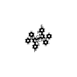 CC(C)(c1cc(N(c2ccccc2)c2ccccc2)cc(-c2ccc(F)cc2F)n1)c1cc(N(c2ccccc2)c2ccccc2)cc(-c2ccc(F)cc2F)n1